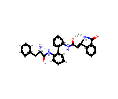 CC[C@H](C)[C@@H]1NC(=O)c2ccccc2C1=CC(=O)Nc1ccccc1-c1ccccc1NC(=O)[C@@H](N)Cc1ccccc1